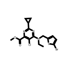 CCN(Cc1ccc(Br)s1)c1nc(C2CC2)nc(C(=O)OC)c1Cl